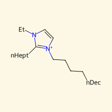 CCCCCCCCCCCCCC[n+]1ccn(CC)c1CCCCCCC